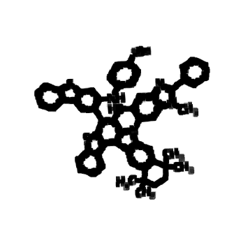 Cn1c(-c2ccccc2)nc2cc3c(cc21)-n1c2cc4c(cc2c2c5c(sc6ccccc65)c(-c5cc6c(cc5Nc5ccc(C(C)(C)C)cc5)sc5ccccc56)c(c21)B3)C(C)(C)CCC4(C)C